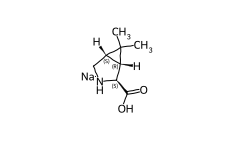 CC1(C)[C@@H]2[C@@H](C(=O)O)NC[C@@H]21.[Na]